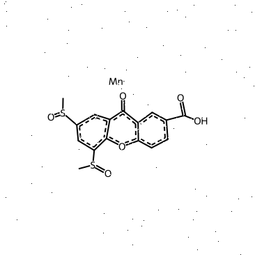 CS(=O)c1cc(S(C)=O)c2oc3ccc(C(=O)O)cc3c(=O)c2c1.[Mn]